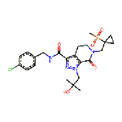 CC(C)(O)Cn1nc(C(=O)NCc2ccc(Cl)cc2)c2c1C(=O)N(CC1(S(C)(=O)=O)CC1)CC2